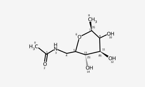 CC(=O)NCC1O[C@@H](C)C(O)[C@@H](O)[C@@H]1O